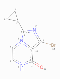 O=c1[nH]ccn2c(C3CC3)nc(Br)c12